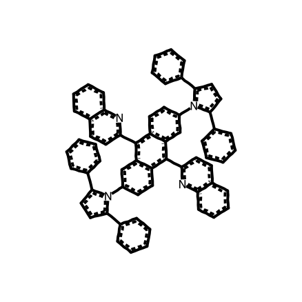 c1ccc(-c2ccc(-c3ccccc3)n2-c2ccc3c(-c4ccc5ccccc5n4)c4cc(-n5c(-c6ccccc6)ccc5-c5ccccc5)ccc4c(-c4ccc5ccccc5n4)c3c2)cc1